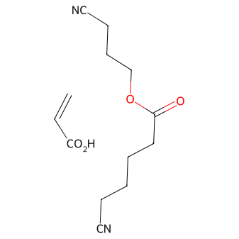 C=CC(=O)O.N#CCCCCC(=O)OCCCC#N